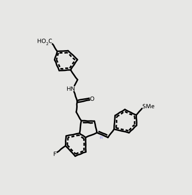 CSc1ccc(/C=C2\C=C(CC(=O)NCc3ccc(C(=O)O)cc3)c3cc(F)ccc32)cc1